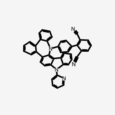 N#Cc1cccc(C#N)c1-c1ccc(N2c3ccccc3-c3ccccc3-c3ccc4c(c32)c2ccccc2n4-c2ccccn2)cc1